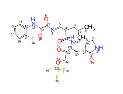 CC(C)CC(/C=N/C(=O)C(=O)Nc1ccccc1F)C(=O)N[C@@H](C[C@@H]1CCNC1=O)C(=O)COC(F)(F)F